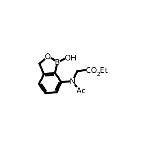 CCOC(=O)CN(C(C)=O)c1cccc2c1B(O)OC2